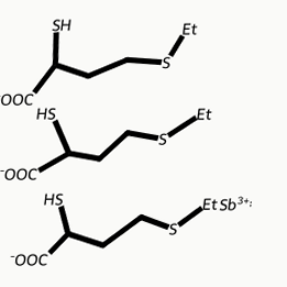 CCSCCC(S)C(=O)[O-].CCSCCC(S)C(=O)[O-].CCSCCC(S)C(=O)[O-].[Sb+3]